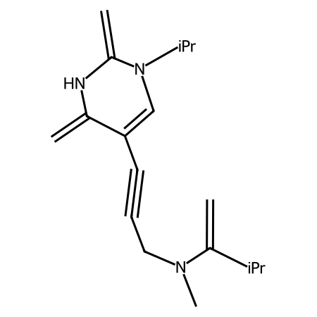 C=C1NC(=C)N(C(C)C)C=C1C#CCN(C)C(=C)C(C)C